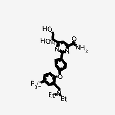 CCN(CC)Cc1cc(C(F)(F)F)ccc1Oc1ccc(-c2nc(C(N)=O)cc([C@H](O)CO)n2)cc1